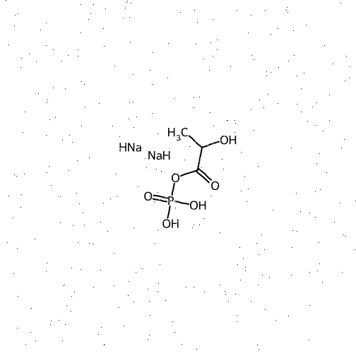 CC(O)C(=O)OP(=O)(O)O.[NaH].[NaH]